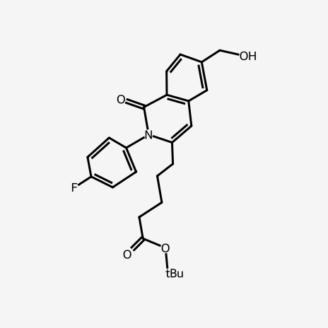 CC(C)(C)OC(=O)CCCCc1cc2cc(CO)ccc2c(=O)n1-c1ccc(F)cc1